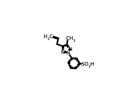 C=CCc1nn(-c2cccc(S(=O)(=O)O)c2)nc1C